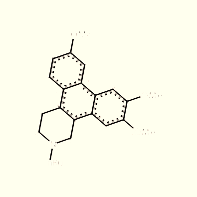 CCCCN1CCc2c(c3cc(OC)c(OC)cc3c3cc(OC)ccc23)C1